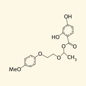 COc1ccc(OCCOC(C)OC(=O)c2ccc(O)cc2O)cc1